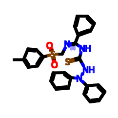 Cc1ccc(S(=O)(=O)C/N=C(\NC(=S)NN(c2ccccc2)c2ccccc2)c2ccccc2)cc1